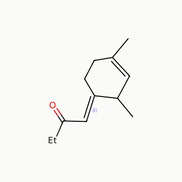 CCC(=O)/C=C1\CCC(C)=CC1C